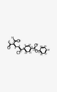 CC(=O)C(=CC=C(Cl)c1ccc(C(=O)Oc2ccccc2)cc1)C(C)=O